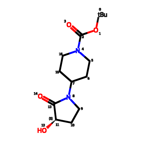 CC(C)(C)OC(=O)N1CCC(N2CC[C@H](O)C2=O)CC1